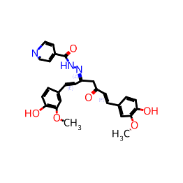 COc1cc(/C=C/C(=O)CC(/C=C/c2ccc(O)c(OC)c2)=N/NC(=O)c2ccncc2)ccc1O